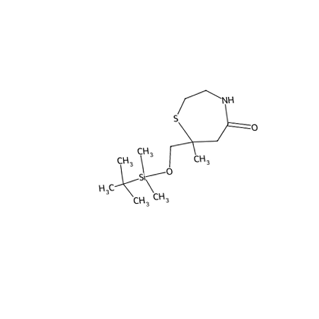 CC1(CO[Si](C)(C)C(C)(C)C)CC(=O)NCCS1